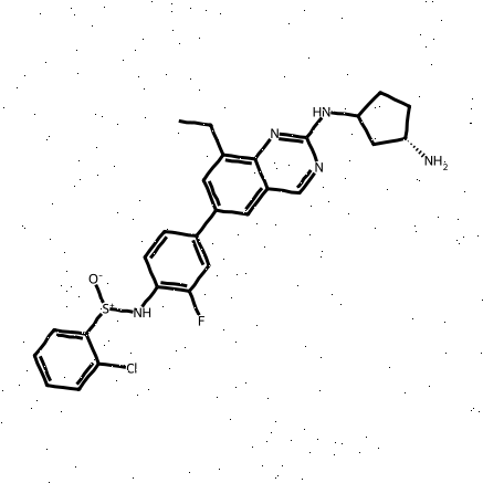 CCc1cc(-c2ccc(N[S+]([O-])c3ccccc3Cl)c(F)c2)cc2cnc(NC3CC[C@H](N)C3)nc12